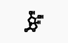 O=C1OC[C@H]2[C@@H](O)[C@H](O)CN12